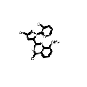 COc1cccc2c(=O)oc(-c3cc(Br)nn3-c3ncccc3Cl)nc12